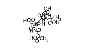 C[C@@H](CCC(=O)N[C@@H](CSSC[C@H](NC(O)CC[C@H](C)C(=O)O)C(=O)NCC(=O)O)C(=O)NCC(=O)O)C(=O)O